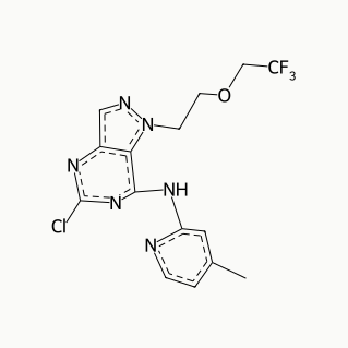 Cc1ccnc(Nc2nc(Cl)nc3cnn(CCOCC(F)(F)F)c23)c1